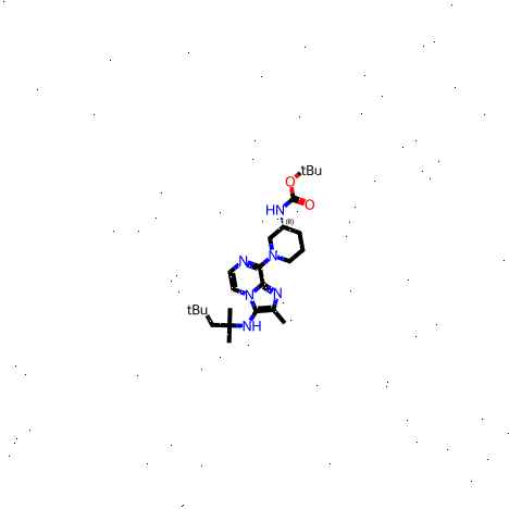 Cc1nc2c(N3CCC[C@@H](NC(=O)OC(C)(C)C)C3)nccn2c1NC(C)(C)CC(C)(C)C